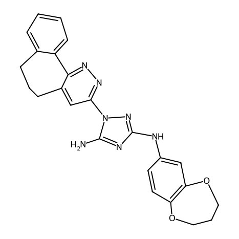 Nc1nc(Nc2ccc3c(c2)OCCCO3)nn1-c1cc2c(nn1)-c1ccccc1CCC2